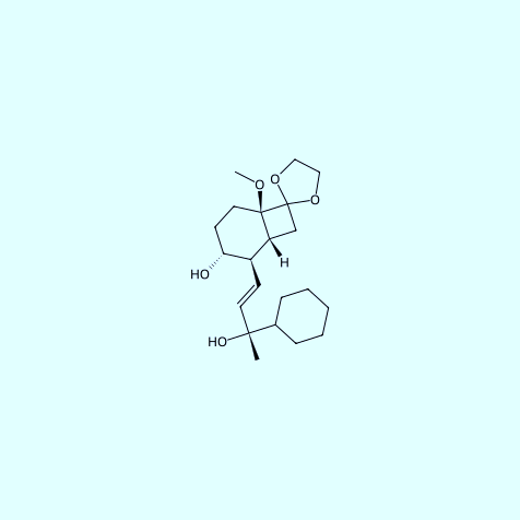 CO[C@]12CC[C@@H](O)[C@H](/C=C/[C@@](C)(O)C3CCCCC3)[C@H]1CC21OCCO1